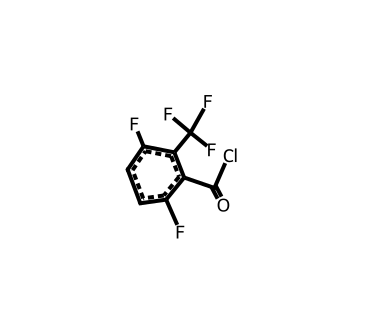 O=C(Cl)c1c(F)ccc(F)c1C(F)(F)F